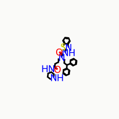 O=C(CCCN(CCC(c1ccccc1)c1ccccc1)C(=O)Nc1nc2ccccc2s1)N[C@H]1CCCNC1